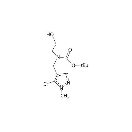 Cn1ncc(CN(CCO)C(=O)OC(C)(C)C)c1Cl